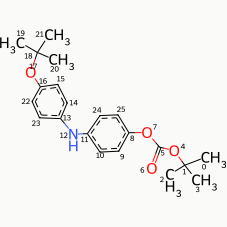 CC(C)(C)OC(=O)Oc1ccc(Nc2ccc(OC(C)(C)C)cc2)cc1